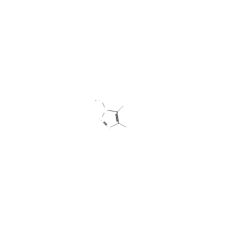 CCCCn1nnc(C(Cl)(Cl)Cl)c1Br